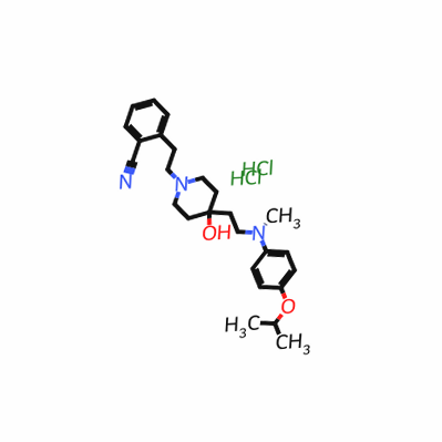 CC(C)Oc1ccc(N(C)CCC2(O)CCN(CCc3ccccc3C#N)CC2)cc1.Cl.Cl